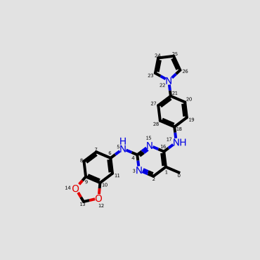 Cc1cnc(Nc2ccc3c(c2)OCO3)nc1Nc1ccc(-n2cccc2)cc1